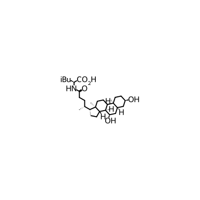 CCC(C)[C@H](NC(=O)CC[C@@H](C)[C@H]1CC[C@H]2[C@@H]3[C@H](O)C[C@@H]4C[C@H](O)CC[C@]4(C)[C@H]3CC[C@]12C)C(=O)O